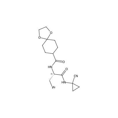 CC(C)C[C@H](NC(=O)C1CCC2(CC1)OCCO2)C(=O)NC1(C#N)CC1